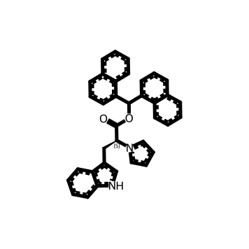 O=C(OC(c1cccc2ccccc12)c1cccc2ccccc12)[C@H](Cc1c[nH]c2ccccc12)n1cccc1